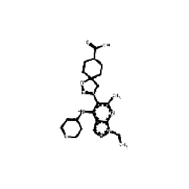 CCn1ncc2c(NC3CCOCC3)c(C3=NOC4(CCC(C(=O)O)CC4)C3)c(C)nc21